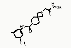 Cc1cc(F)cc(NC(=O)C2CCC3(CC2)CN(CC(=O)NC(C)(C)C)C3)c1